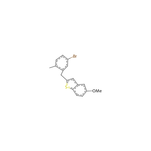 COc1ccc2sc(Cc3cc(Br)ccc3C)cc2c1